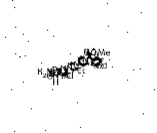 CC[C@H]1CN(c2ncc(NS(N)(=O)=O)cc2Cl)CCN1C1CCN(C(C(=O)OC)c2ccc(Cl)cc2)CC1